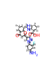 Cc1cc(C(C)Nc2ccccc2C(=O)O)c2oc(-c3cnn(-c4ccc(N)cc4F)c3)cc(=O)c2c1